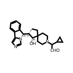 O=CC(C1CC1)N1CCC2(CC[C@@H]([C@H]3c4ccccc4-c4cncn43)[C@H]2O)CC1